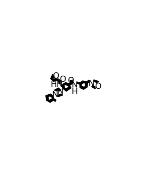 Cc1ccccc1N1CCN(c2ccc(C(=O)NCc3cccc(CN4CCOCC4)c3)cc2NC(=O)c2ccco2)CC1